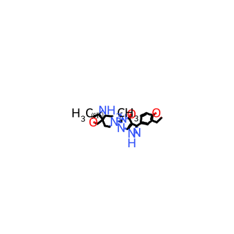 C[C@@H]1OCC2(CCN(c3nc4[nH]nc(-c5ccc6c(c5)CCO6)c4c(=O)n3C)CC2)[C@@H]1N